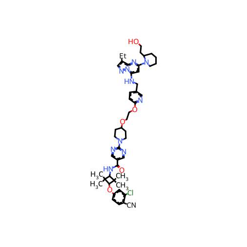 CCc1cnn2c(NCc3ccc(OCCOC4CCN(c5ncc(C(=O)NC6C(C)(C)C(Oc7ccc(C#N)c(Cl)c7)C6(C)C)cn5)CC4)nc3)cc(N3CCCCC3CCO)nc12